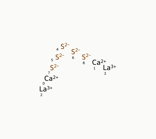 [Ca+2].[Ca+2].[La+3].[La+3].[S-2].[S-2].[S-2].[S-2].[S-2]